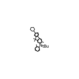 Cc1ccccc1N(c1cc2c(cc1C)-c1ccc(C3CCCCC3)cc1C2(C)C)C(C)(C)C